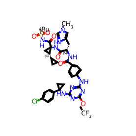 Cn1cnc(C[C@H](NC(=O)c2ccc(Nc3nc(NC4(c5ccc(Cl)cc5)CC4)nc(OCC(F)(F)F)n3)cc2)C(=O)N[C@]2(C(=O)NS(=O)(=O)C(C)(C)C)C[C@H]2C2CC2)c1